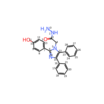 NNC(=O)Cn1c(-c2ccc(O)cc2)nc(-c2ccccc2)c1-c1ccccc1